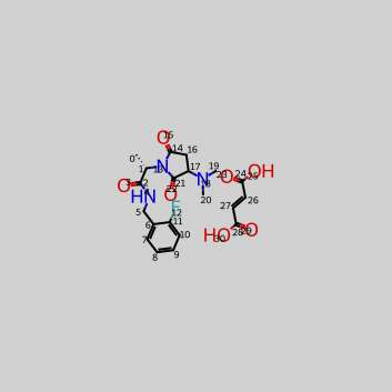 C[C@@H](C(=O)NCc1ccccc1F)N1C(=O)CC(N(C)C)C1=O.O=C(O)/C=C/C(=O)O